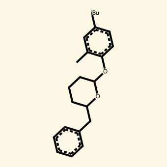 CCC(C)c1ccc(OC2CCCC(Cc3ccccc3)O2)c(C)c1